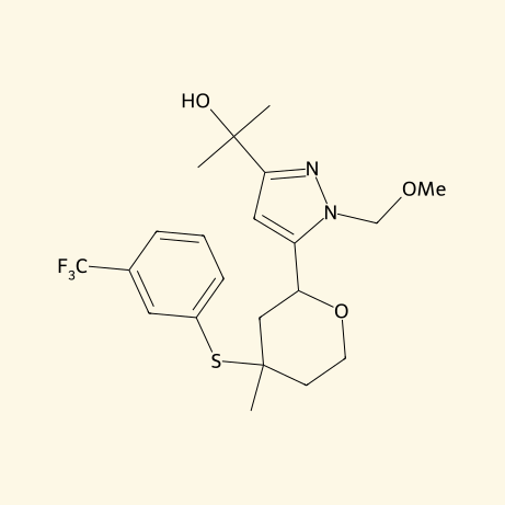 COCn1nc(C(C)(C)O)cc1C1CC(C)(Sc2cccc(C(F)(F)F)c2)CCO1